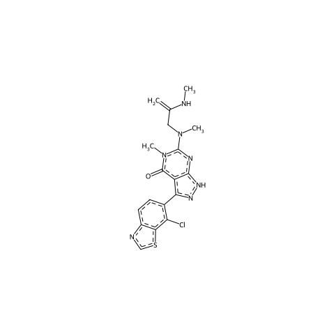 C=C(CN(C)c1nc2[nH]nc(-c3ccc4ncsc4c3Cl)c2c(=O)n1C)NC